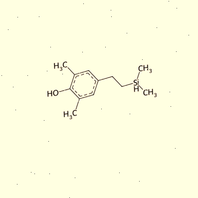 Cc1cc(CC[SiH](C)C)cc(C)c1O